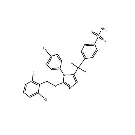 CC(C)(c1ccc(S(N)(=O)=O)cc1)c1cnc(SCc2c(F)cccc2Cl)n1-c1ccc(F)cc1